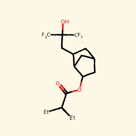 CCC(CC)C(=O)OC1CC2CC(CC(O)(C(F)(F)F)C(F)(F)F)C1C2